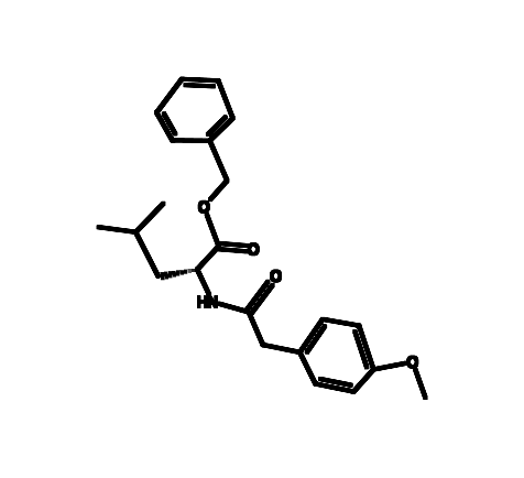 COc1ccc(CC(=O)N[C@H](CC(C)C)C(=O)OCc2ccccc2)cc1